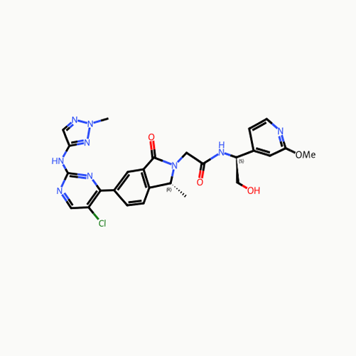 COc1cc([C@@H](CO)NC(=O)CN2C(=O)c3cc(-c4nc(Nc5cnn(C)n5)ncc4Cl)ccc3[C@H]2C)ccn1